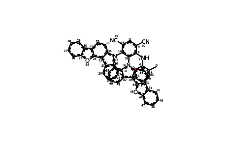 Cc1ccccc1Nc1c(C#N)cc(C#N)c(-n2c3ccccc3c3c4oc5ccccc5c4ccc32)c1-n1c2ccccc2c2c3oc4ccccc4c3ccc21